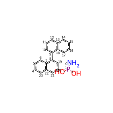 NP(O)O.c1ccc2c(-c3cccc4ccccc34)cccc2c1